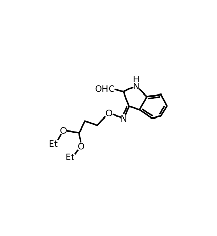 CCOC(CCON=C1c2ccccc2NC1C=O)OCC